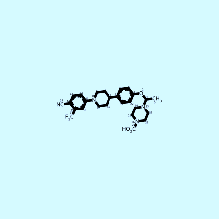 CC(Oc1ccc(C2CCN(c3ccc(C#N)c(C(F)(F)F)c3)CC2)cc1)N1CCN(C(=O)O)CC1